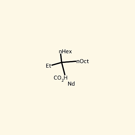 CCCCCCCCC(CC)(CCCCCC)C(=O)O.[Nd]